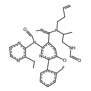 C=CCCN(/C(=N/C)c1cc(Cl)c(-c2ccccc2F)nc1N(C=O)c1nccnc1CC)C(C)CNC=O